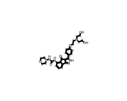 O=C(Nc1cccc2c1C(=O)c1c-2n[nH]c1-c1ccc(OCCN(CCO)CCO)cc1)NN1CCOCC1